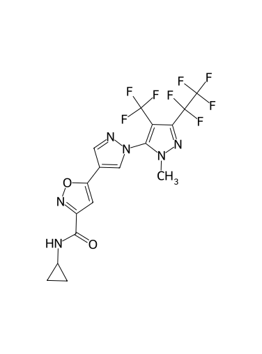 Cn1nc(C(F)(F)C(F)(F)F)c(C(F)(F)F)c1-n1cc(-c2cc(C(=O)NC3CC3)no2)cn1